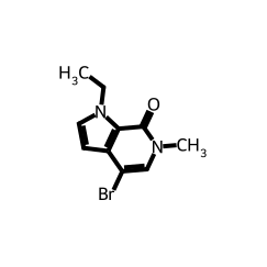 CCn1ccc2c(Br)cn(C)c(=O)c21